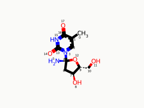 Cc1cn([C@@]2(N)C[C@H](O)[C@@H](CO)O2)c(=O)[nH]c1=O